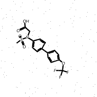 CS(=O)(=O)N(CC(=O)O)c1ccc(-c2ccc(OC(F)(F)F)cc2)cc1